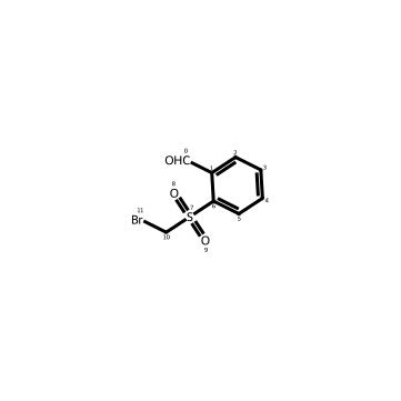 O=Cc1ccccc1S(=O)(=O)CBr